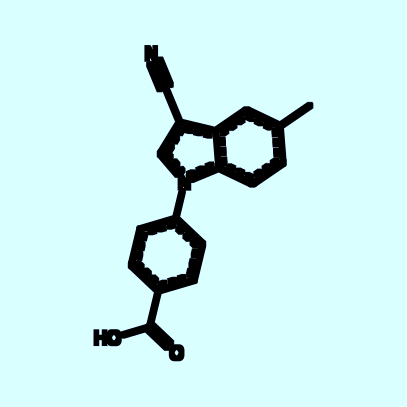 Cc1ccc2c(c1)c(C#N)cn2-c1ccc(C(=O)O)cc1